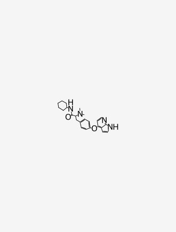 CN(C)C(Cc1ccc(Oc2ccnc3[nH]ccc23)cc1)C(=O)NC1CCCCC1